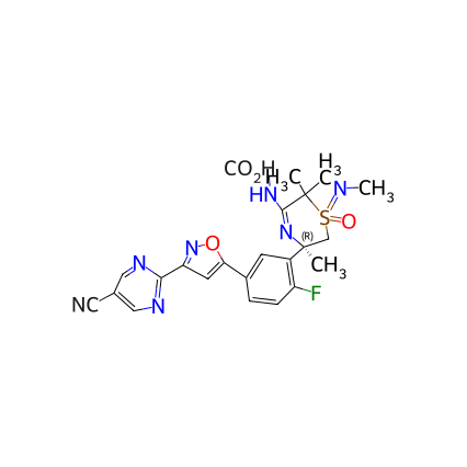 CN=S1(=O)C[C@@](C)(c2cc(-c3cc(-c4ncc(C#N)cn4)no3)ccc2F)N=C(NC(=O)O)C1(C)C